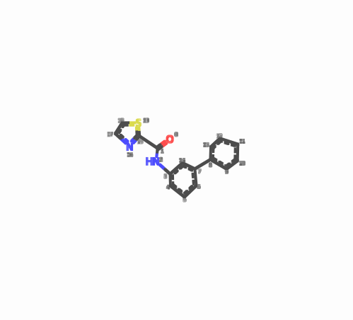 O=C(Nc1cccc(-c2ccccc2)c1)c1nccs1